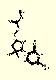 CC(C)(C)OC(=O)OC[C@H]1CC(F)(F)[C@@H](n2ccc(N)nc2=O)O1